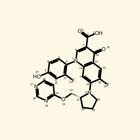 O=C(O)c1cn(-c2ccc(O)cc2F)c2cc(N3CCC[C@@H]3COc3ccncn3)c(F)cc2c1=O